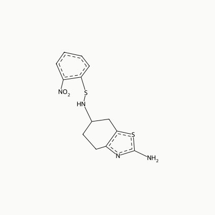 Nc1nc2c(s1)CC(NSc1ccccc1[N+](=O)[O-])CC2